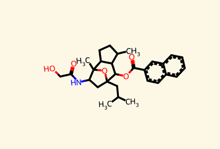 CC(C)CC12CC(NC(=O)CO)C(C)(O1)C1CCC(C)C1C2OC(=O)c1ccc2ccccc2c1